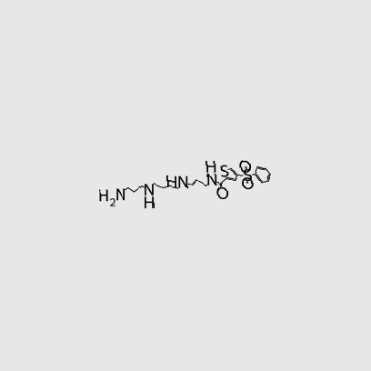 NCCCNCCCCNCCCNC(=O)c1cc(S(=O)(=O)c2ccccc2)cs1